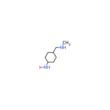 CNCC1CCC(NI)CC1